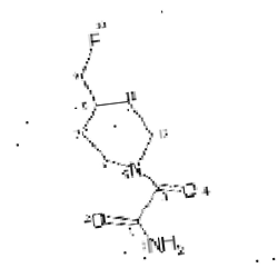 NC(=O)C(=O)N1CCC(CF)CC1